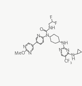 COc1ncc(-c2ccc(N(C(=O)NCC(F)F)[C@H]3CC[C@H](Nc4ncc(C(F)(F)F)c(NC5CC5)n4)CC3)nc2)cn1